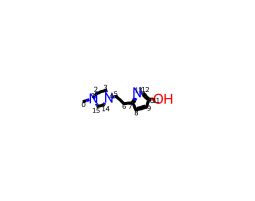 CN1CCN(CCc2ccc(O)cn2)CC1